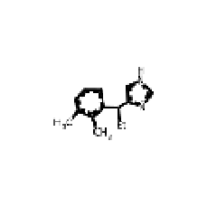 CCC(c1c[nH]cn1)c1cccc(C)c1C